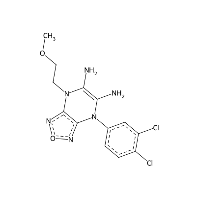 COCCN1C(N)=C(N)N(c2ccc(Cl)c(Cl)c2)c2nonc21